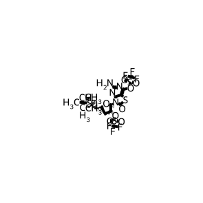 CC(C)(C)[Si](C)(C)OC[C@@H]1C[C@@H](OS(=O)(=O)C(F)(F)F)[C@H](n2c(=O)sc3c(OS(=O)(=O)C(F)(F)F)nc(N)nc32)O1